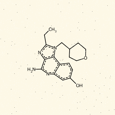 CCc1nc2c(N)nc3cc(O)ccc3c2n1CC1CCOCC1